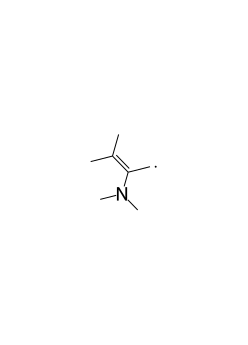 [CH2]C(=C(C)C)N(C)C